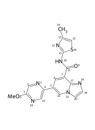 COc1cnc(-c2cc(C(=O)Nc3nc(C)cs3)c3nccn3c2)cn1